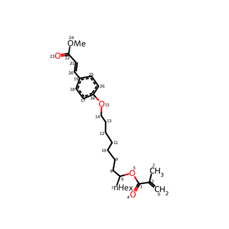 C=C(C)C(=O)OC(CCCCCC)CCCCCCCOc1ccc(C=CC(=O)OC)cc1